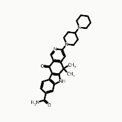 CC1(C)c2cc(N3CCC(N4CCCCC4)CC3)ncc2C(=O)c2c1[nH]c1cc(C(N)=O)ccc21